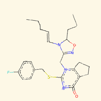 CCCC=CN1C(Cn2c(SCc3ccc(F)cc3)nc(=O)c3c2CCC3)=NOC1CCC